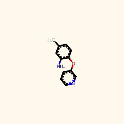 Cc1ccc(Oc2cccnc2)c(N)c1